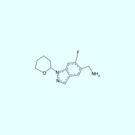 NCc1cc2cnn(C3CCCCO3)c2cc1F